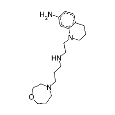 Nc1ccc2c(c1)N(CCNCCCN1CCCOCC1)CCC2